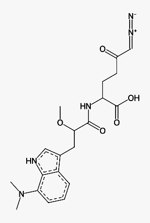 COC(Cc1c[nH]c2c(N(C)C)cccc12)C(=O)NC(CCC(=O)C=[N+]=[N-])C(=O)O